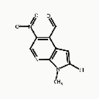 Cn1c(Cl)cc2c(C=O)c([N+](=O)[O-])cnc21